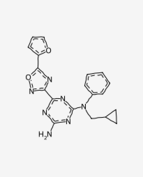 Nc1nc(-c2noc(-c3ccco3)n2)nc(N(CC2CC2)c2ccccc2)n1